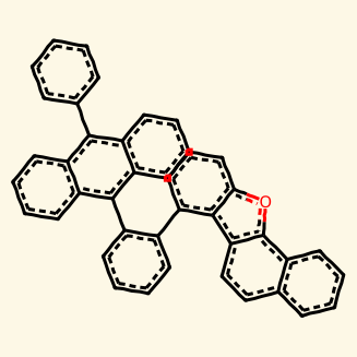 c1ccc(-c2c3ccccc3c(-c3ccccc3-c3cccc4oc5c6ccccc6ccc5c34)c3ccccc23)cc1